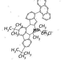 CCCC1=Cc2c(-c3c4ccccc4cc4ccccc34)cccc2C1c1cc(C(C)(C)C)cc2c1[CH]([Zr+2][SiH](C)C)c1ccc(C(C)(C)C)cc1-2.[Cl-].[Cl-]